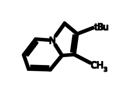 CC1=C(C(C)(C)C)CN2C=CC=CC12